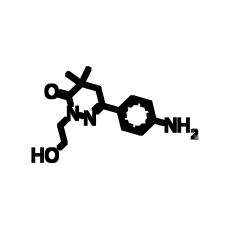 CC1(C)CC(c2ccc(N)cc2)=NN(CCO)C1=O